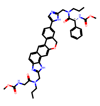 CCCN(Cc1nc2ccc3cc4c(cc3c2[nH]1)OCc1cc(-c2cnc(CN(CCC)C(=O)[C@H](NC(=O)OC)c3ccccc3)[nH]2)ccc1-4)C(=O)CNC(=O)OC